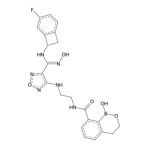 O=C(NCCNc1nonc1C(=NO)NC1Cc2ccc(F)cc21)c1cccc2c1B(O)OCC2